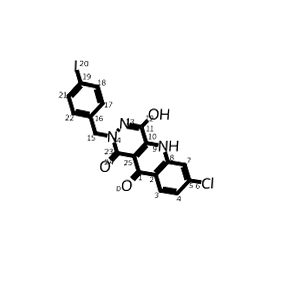 O=c1c2ccc(Cl)cc2[nH]c2c(O)nn(Cc3ccc(I)cc3)c(=O)c12